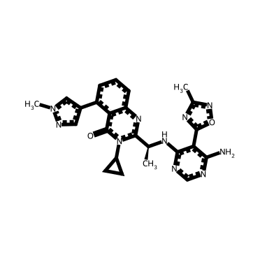 Cc1noc(-c2c(N)ncnc2N[C@@H](C)c2nc3cccc(-c4cnn(C)c4)c3c(=O)n2C2CC2)n1